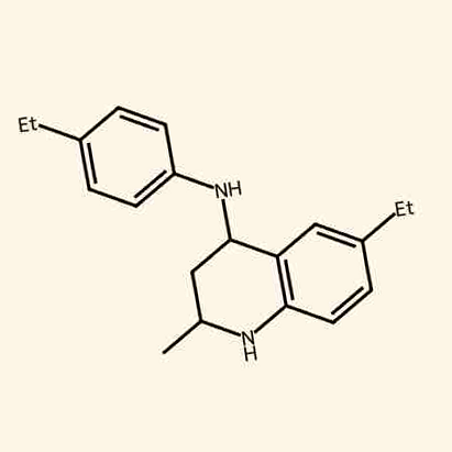 CCc1ccc(NC2CC(C)Nc3ccc(CC)cc32)cc1